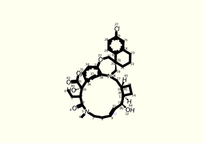 CCC1C(=O)N(C)CC/C=C/[C@H](O)[C@@H]2CC[C@H]2CN2C[C@@]3(CCCc4cc(Cl)ccc43)COc3ccc(cc32)[C@]1(O)C(=O)O